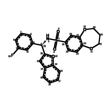 O=S(=O)(N[C@@H](c1cccc(F)c1)c1cc2ccccc2o1)c1ccc2c(c1)OCCCO2